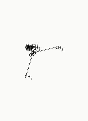 CCCCCCCCCCCCCCCCCCCCCC(=O)Oc1ccc(C(O)CNC(C)(C)C)cc1OC(=O)CCCCCCCCCCCCCCCCCCCCC.CS(=O)(=O)O